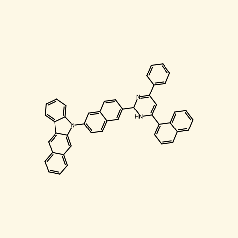 C1=C(c2cccc3ccccc23)NC(c2ccc3cc(-n4c5ccccc5c5cc6ccccc6cc54)ccc3c2)N=C1c1ccccc1